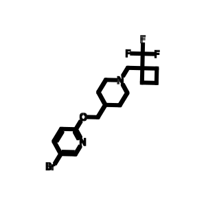 FC(F)(F)C1(CN2CCC(COc3ccc(Br)cn3)CC2)CCC1